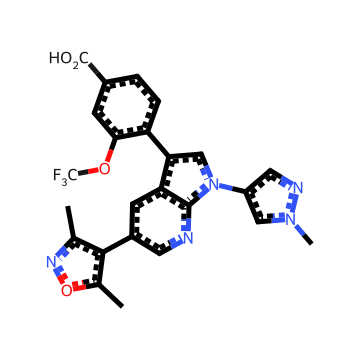 Cc1noc(C)c1-c1cnc2c(c1)c(-c1ccc(C(=O)O)cc1OC(F)(F)F)cn2-c1cnn(C)c1